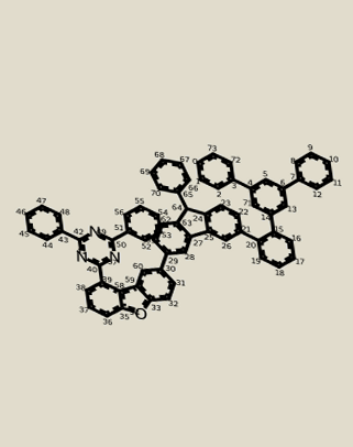 c1ccc(-c2cc(-c3ccccc3)cc(-c3ccccc3-c3ccc4c(c3)-c3cc(-c5ccc6oc7cccc(-c8nc(-c9ccccc9)nc(-c9ccccc9)n8)c7c6c5)ccc3C4c3ccccc3)c2)cc1